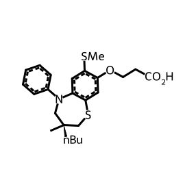 CCCC[C@]1(C)CSc2cc(OCCC(=O)O)c(SC)cc2N(c2ccccc2)C1